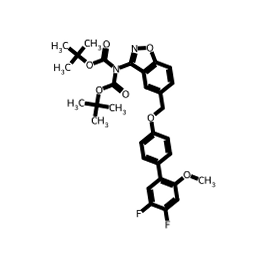 COc1cc(F)c(F)cc1-c1ccc(OCc2ccc3onc(N(C(=O)OC(C)(C)C)C(=O)OC(C)(C)C)c3c2)cc1